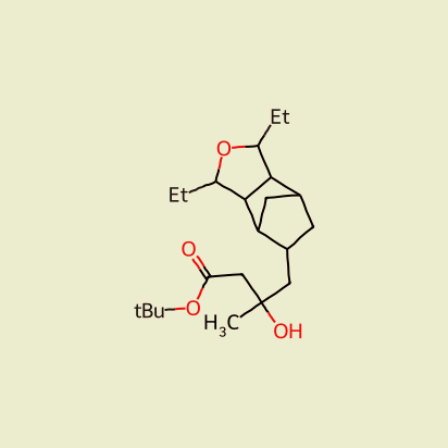 CCC1OC(CC)C2C3CC(CC3CC(C)(O)CC(=O)OC(C)(C)C)C12